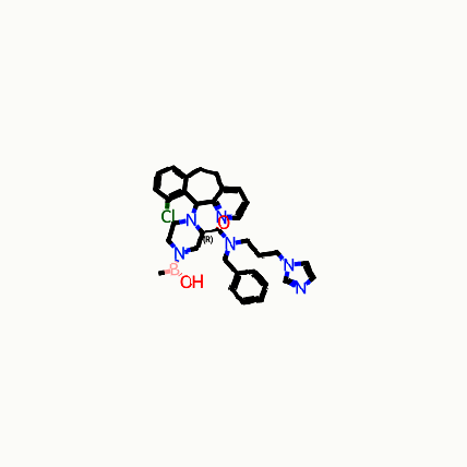 CB(O)N1CCN(C2c3ncccc3CCc3cccc(Cl)c32)[C@@H](C(=O)N(CCCn2ccnc2)Cc2ccccc2)C1